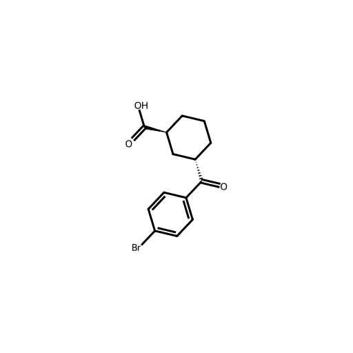 O=C(O)[C@H]1CCC[C@H](C(=O)c2ccc(Br)cc2)C1